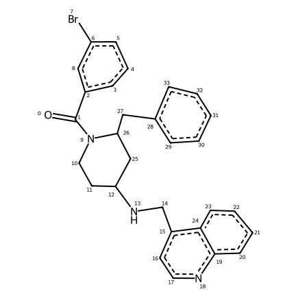 O=C(c1cccc(Br)c1)N1CCC(NCc2ccnc3ccccc23)CC1Cc1ccccc1